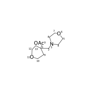 CC(=O)OC1(CN2CCOCC2)CCOCC1